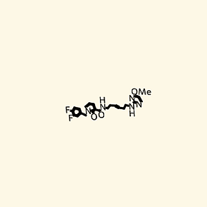 COc1ccnc(NCCC#CCCNC(=O)c2cccn(Cc3ccc(F)c(F)c3)c2=O)n1